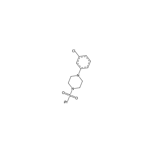 CC(C)S(=O)(=O)N1CCN(c2cccc(Cl)c2)CC1